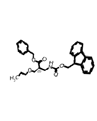 CCCOC[C@H](CNC(=O)OCC1c2ccccc2-c2ccccc21)C(=O)OCc1ccccc1